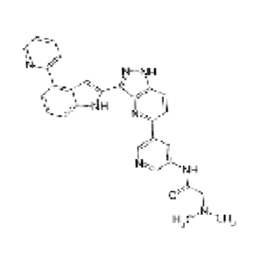 CN(C)CC(=O)Nc1cncc(-c2ccc3[nH]nc(-c4cc5c(-c6ccccn6)cccc5[nH]4)c3n2)c1